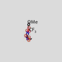 COc1ccc(COCC(OC(=O)N2CCC3(CC2)C[C@H](N(C)S(=O)(=O)C2CC2)CO3)C(F)(F)F)cc1